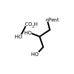 CCCCCCC(O)CO.O=C(O)O